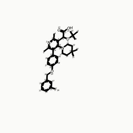 Cc1nc(C)c(C(OC(C)(C)C)C(=O)O)c(N2CCC(C)(C)CC2)c1-c1ccc(OCc2cccc(F)c2)cc1